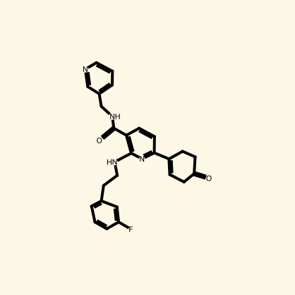 O=C1CC=C(c2ccc(C(=O)NCc3cccnc3)c(NCCc3cccc(F)c3)n2)CC1